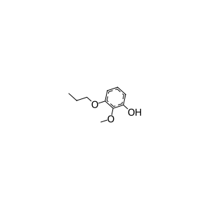 CCCOc1cccc(O)c1OC